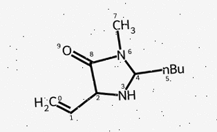 C=CC1NC(CCCC)N(C)C1=O